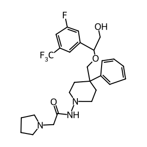 O=C(CN1CCCC1)NN1CCC(COC(CO)c2cc(F)cc(C(F)(F)F)c2)(c2ccccc2)CC1